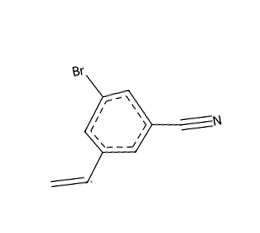 C=[C]c1cc(Br)cc(C#N)c1